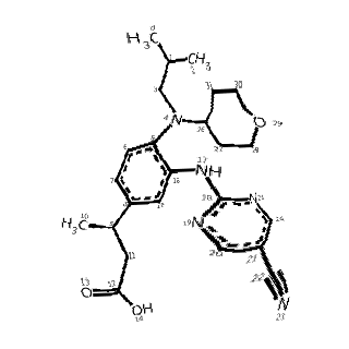 CC(C)CN(c1ccc([C@H](C)CC(=O)O)cc1Nc1ncc(C#N)cn1)C1CCOCC1